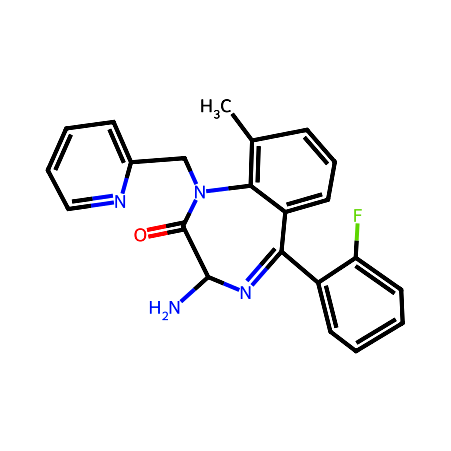 Cc1cccc2c1N(Cc1ccccn1)C(=O)C(N)N=C2c1ccccc1F